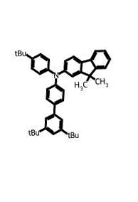 CC(C)(C)c1ccc(N(c2ccc(-c3cc(C(C)(C)C)cc(C(C)(C)C)c3)cc2)c2ccc3c(c2)C(C)(C)c2ccccc2-3)cc1